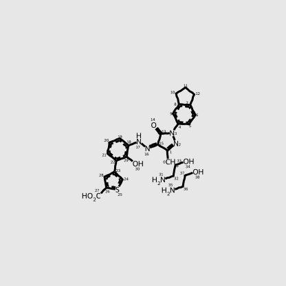 CC1=NN(c2ccc3c(c2)CCC3)C(=O)/C1=N\Nc1cccc(-c2csc(C(=O)O)c2)c1O.NCCO.NCCO